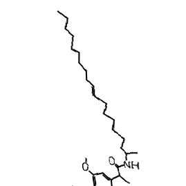 CCCCCCCCCC=CCCCCCCC(C)NC(=O)C(C)c1ccc(O)c(OC)c1